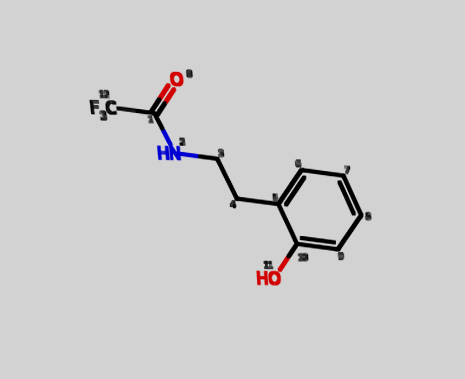 O=C(NCCc1ccccc1O)C(F)(F)F